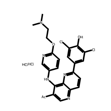 CC(=O)c1cnc2ccc(-c3cc(Cl)c(O)c(Cl)c3)nc2c1Nc1ccc(OCCN(C)C)nc1.Cl.Cl